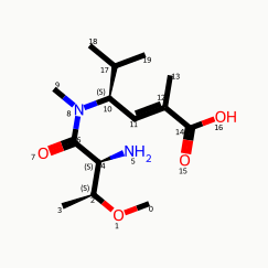 CO[C@@H](C)[C@H](N)C(=O)N(C)[C@H](C=C(C)C(=O)O)C(C)C